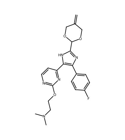 C=C1COC(c2nc(-c3ccc(F)cc3)c(-c3ccnc(OCCN(C)C)n3)[nH]2)OC1